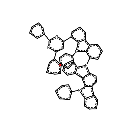 c1ccc(-c2cc(-c3cccc4c5cccc(-n6c7ccccc7c7c6ccc6c8ccccc8n(-c8ccccc8)c67)c5n(-c5ccccc5)c34)nc(-c3ccccc3)n2)cc1